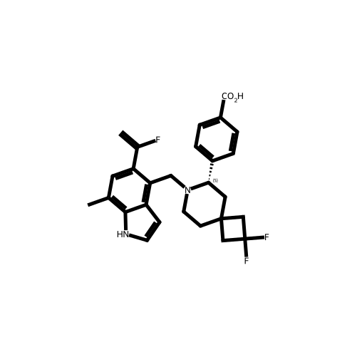 C=C(F)c1cc(C)c2[nH]ccc2c1CN1CCC2(C[C@H]1c1ccc(C(=O)O)cc1)CC(F)(F)C2